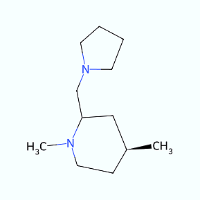 C[C@H]1CCN(C)C(CN2CCCC2)C1